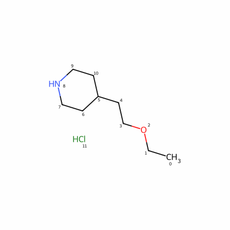 CCOCCC1CCNCC1.Cl